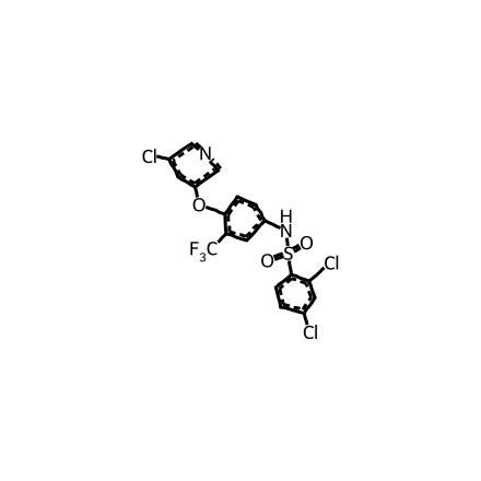 O=S(=O)(Nc1ccc(Oc2cncc(Cl)c2)c(C(F)(F)F)c1)c1ccc(Cl)cc1Cl